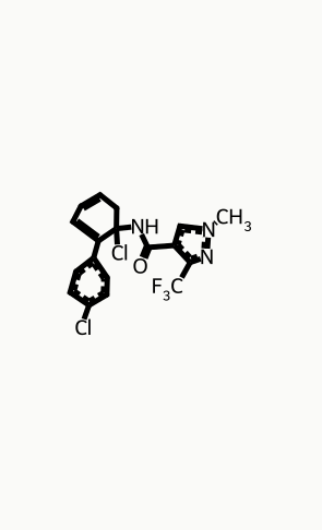 Cn1cc(C(=O)NC2(Cl)CC=CC=C2c2ccc(Cl)cc2)c(C(F)(F)F)n1